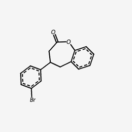 O=C1CC(c2cccc(Br)c2)Cc2ccccc2O1